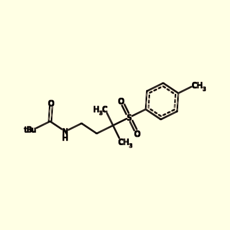 Cc1ccc(S(=O)(=O)C(C)(C)CCNC(=O)C(C)(C)C)cc1